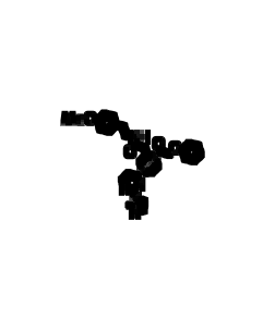 COc1ccc(CCNC(=O)CC2CN(c3ccnc(-n4ccnc4)n3)CCN2C(=O)COc2ccccc2)cc1